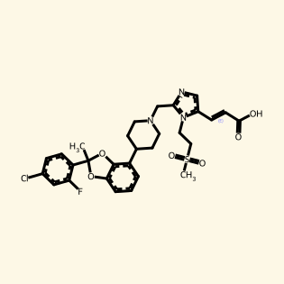 CC1(c2ccc(Cl)cc2F)Oc2cccc(C3CCN(Cc4ncc(/C=C/C(=O)O)n4CCS(C)(=O)=O)CC3)c2O1